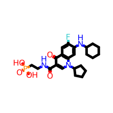 O=C(NCCP(=O)(O)O)c1cn(C2CCCC2)c2cc(NC3CCCCC3)c(F)cc2c1=O